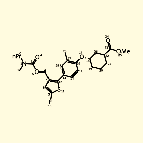 CCCN(C)C(=O)OCc1cc(F)sc1-c1ccc(O[C@H]2CCC[C@H](C(=O)OC)C2)c(C)n1